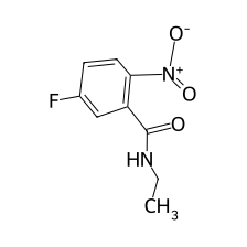 CCNC(=O)c1cc(F)ccc1[N+](=O)[O-]